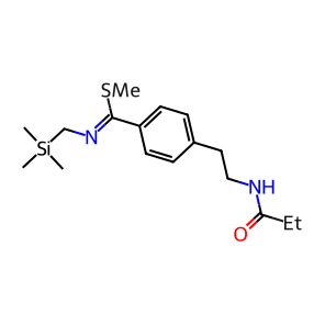 CCC(=O)NCCc1ccc(C(=NC[Si](C)(C)C)SC)cc1